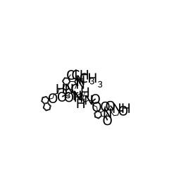 Cc1nn(C)c(C)c1-c1c(Cl)ccc2c(CCCOc3cccc4ccccc34)c(C(=O)O)n(CCN3C[C@@H]4CN(C(=O)COc5cccc6c5C(=O)N(C5CCC(=O)NC5=O)C6=O)C[C@@H]4C3)c12